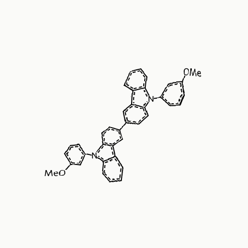 COc1cccc(-n2c3ccccc3c3cc(-c4ccc5c(c4)c4ccccc4n5-c4cccc(OC)c4)ccc32)c1